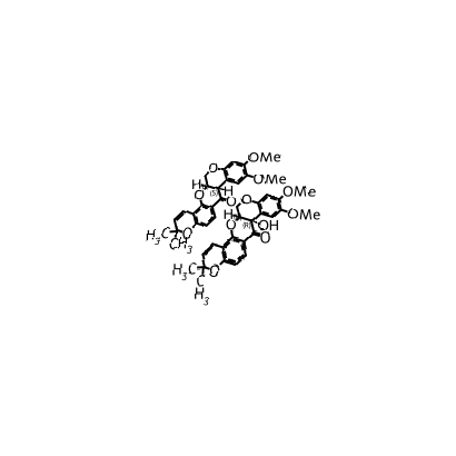 COc1cc2c(cc1OC)[C@@H]1C(=O)c3ccc4c(c3O[C@@H]1CO2)C=CC(C)(C)O4.COc1cc2c(cc1OC)[C@]1(O)C(=O)c3ccc4c(c3O[C@@H]1CO2)C=CC(C)(C)O4